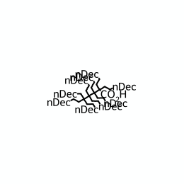 CCCCCCCCCCCCC(CCCCCCCCCCC)(CCCCCCCCCCCC)C(CCCCCCCCCCCC)(CCCCCCCCCCCC)C(CCCCCCCCCCCC)(CCCCCCCCCCCC)C(CCCCCCCCCCCC)(CCCCCCCCCCCC)C(=O)O